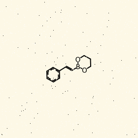 C(=Cc1ccccc1)B1OCCCO1